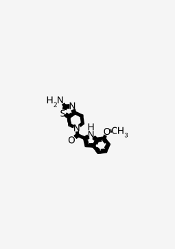 COc1cccc2cc(C(=O)N3CCc4nc(N)sc4C3)[nH]c12